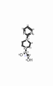 [O-]/[N+](=N\O)N1CCN(c2ncccn2)CC1